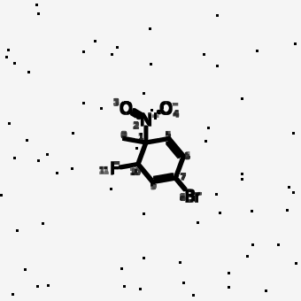 CC1([N+](=O)[O-])C=CC(Br)=CC1F